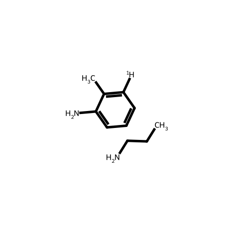 CCCN.[1H]c1cccc(N)c1C